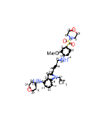 COc1cc(S(=O)(=O)N2CCOCC2)ccc1NCC#Cc1cc2c(NC3CCOCC3)cccc2n1CC(F)(F)F